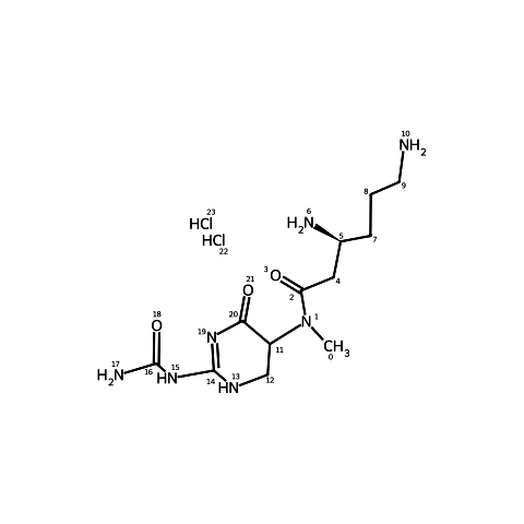 CN(C(=O)C[C@@H](N)CCCN)C1CNC(NC(N)=O)=NC1=O.Cl.Cl